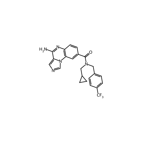 Nc1nc2ccc(C(=O)N(Cc3ccc(C(F)(F)F)cc3)CC3CC3)cc2n2cncc12